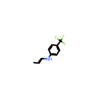 [CH2]C=CNc1ccc(C(F)(F)F)cc1